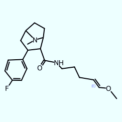 CO/C=C/CCCNC(=O)C1C(c2ccc(F)cc2)CC2CCC1N2C